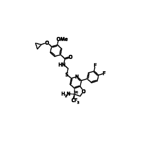 COc1cc(C(=O)NCSc2cc3c(c(-c4ccc(F)c(F)c4)n2)OC[C@@]3(N)C(F)(F)F)ccc1OC1CC1